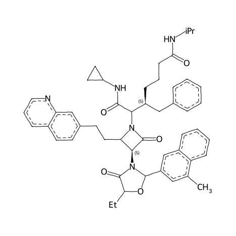 CCC1OC(c2cc(C)c3ccccc3c2)N([C@@H]2C(=O)N(C(C(=O)NC3CC3)[C@@H](CCCC(=O)NC(C)C)Cc3ccccc3)C2CCc2ccc3cccnc3c2)C1=O